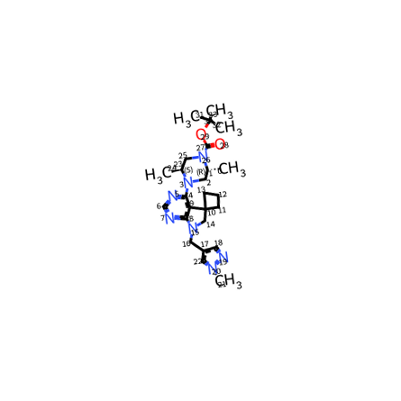 C[C@@H]1CN(c2ncnc3c2C2(CCC2)CN3Cc2cnn(C)c2)[C@@H](C)CN1C(=O)OC(C)(C)C